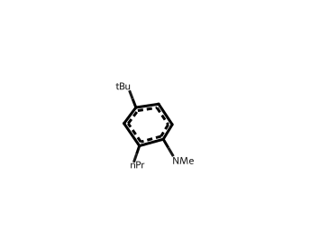 CCCc1cc(C(C)(C)C)ccc1NC